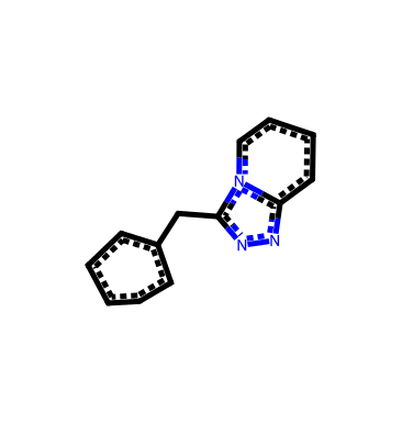 c1ccc(Cc2nnc3ccccn23)cc1